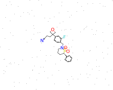 N#CCCC1(c2ccc(CN3CCC[C@H](c4ccccc4)S3(=O)=O)c(F)c2)COC1